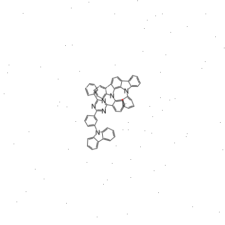 c1ccc(-c2nc(-c3cccc(-n4c5ccccc5c5ccccc54)c3)nc(-c3ccccc3-n3c4ccccc4c4ccc5c6ccccc6n(-c6ccccc6)c5c43)n2)cc1